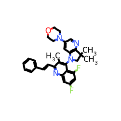 Cc1c(C=Cc2ccccc2)nc2cc(F)cc(F)c2c1N1CC(C)(C)c2ncc(N3CCOCC3)cc21